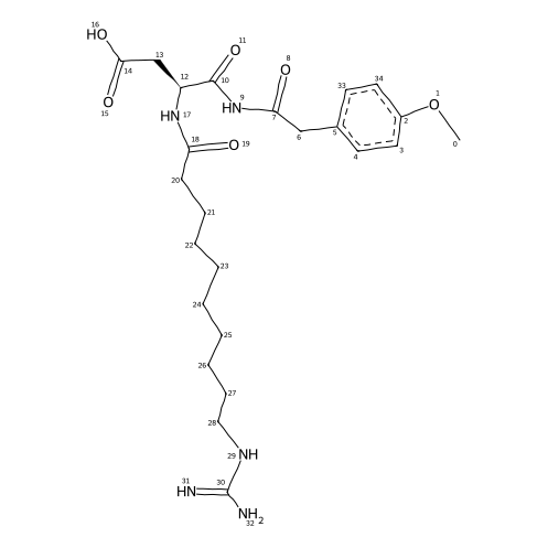 COc1ccc(CC(=O)NC(=O)[C@H](CC(=O)O)NC(=O)CCCCCCCCCNC(=N)N)cc1